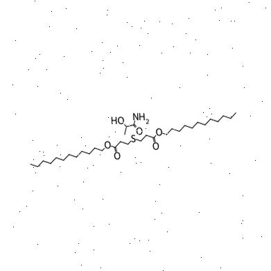 CC(O)C(N)=O.CCCCCCCCCCCCOC(=O)CCSCCC(=O)OCCCCCCCCCCCC